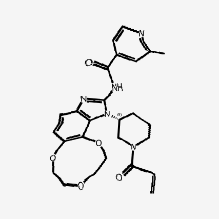 C=CC(=O)N1CCC[C@@H](n2c(NC(=O)c3ccnc(C)c3)nc3ccc4c(c32)OCCOCCO4)C1